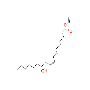 C=COC(=O)CCCCCCC/C=C\CC(O)CCCCCC